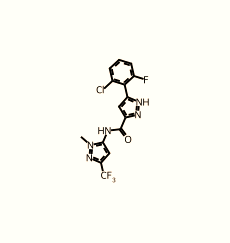 Cn1nc(C(F)(F)F)cc1NC(=O)c1cc(-c2c(F)cccc2Cl)[nH]n1